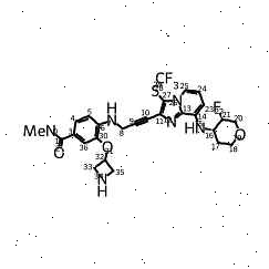 CNC(=O)c1ccc(NCC#Cc2nc3c(N[C@@H]4CCOC[C@@H]4F)cccn3c2SC(F)(F)F)c(OC2CNC2)c1